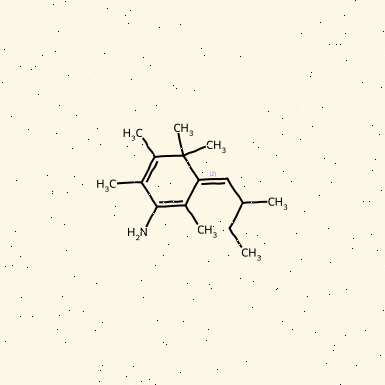 CCC(C)/C=C1\C(C)=C(N)C(C)=C(C)C1(C)C